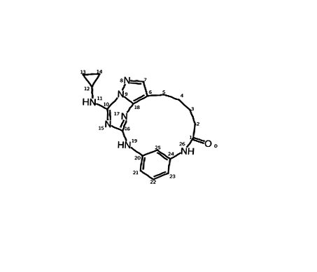 O=C1CCCCc2cnn3c(NC4CC4)nc(nc23)Nc2cccc(c2)N1